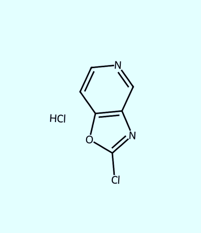 Cl.Clc1nc2cnccc2o1